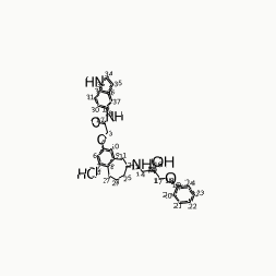 Cl.O=C(COc1ccc2c(c1)CC(NC[C@H](O)COc1ccccc1)CCC2)Nc1ccc2[nH]ccc2c1